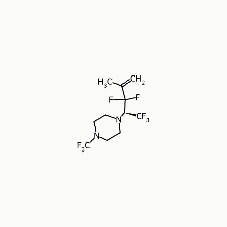 C=C(C)C(F)(F)[C@H](N1CCN(C(F)(F)F)CC1)C(F)(F)F